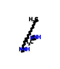 CCCCCCCCCCCCCCCCCc1ncc[nH]1.Cc1c[nH]cn1